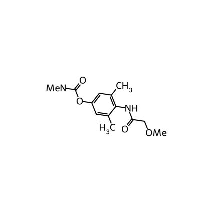 CNC(=O)Oc1cc(C)c(NC(=O)COC)c(C)c1